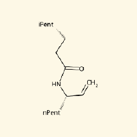 C=C[C@H](CCCCC)NC(=O)CC[C@@H](C)C[CH]C